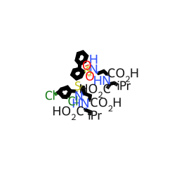 CC(C)CC(NC(CCNS(=O)(=O)c1ccccc1-c1ccccc1)C(=O)O)C(=O)O.CC(C)CC(NC(Cc1csc(-c2ccc(Cl)cc2Cl)n1)C(=O)O)C(=O)O